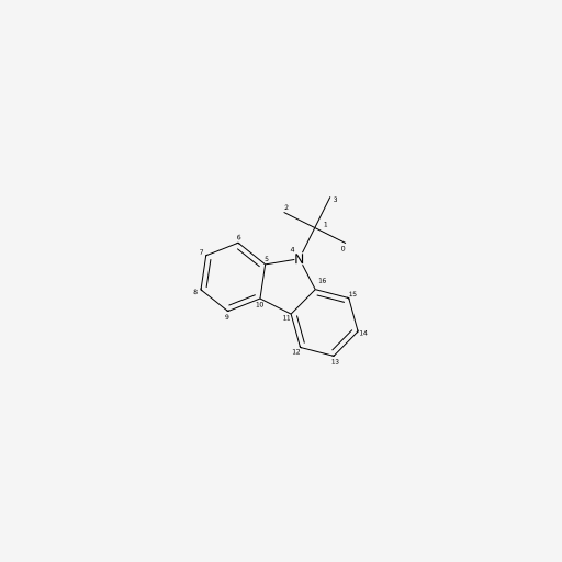 CC(C)(C)n1c2ccccc2c2ccccc21